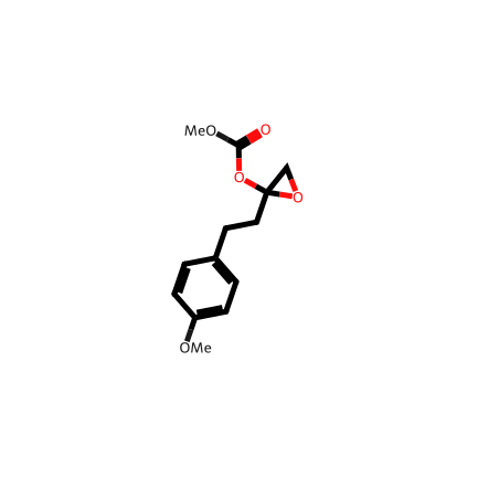 COC(=O)OC1(CCc2ccc(OC)cc2)CO1